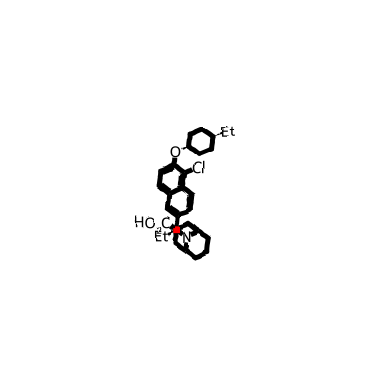 CC[C@@H](c1ccc2c(Cl)c(O[C@H]3CC[C@@H](CC)CC3)ccc2c1)N1C2CCCC1CC(C(=O)O)C2